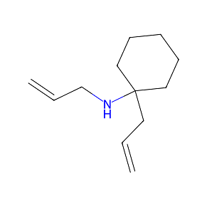 C=CCNC1(CC=C)CCCCC1